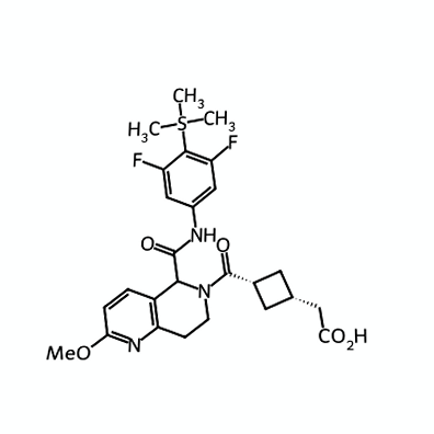 COc1ccc2c(n1)CCN(C(=O)[C@H]1C[C@@H](CC(=O)O)C1)C2C(=O)Nc1cc(F)c(S(C)(C)C)c(F)c1